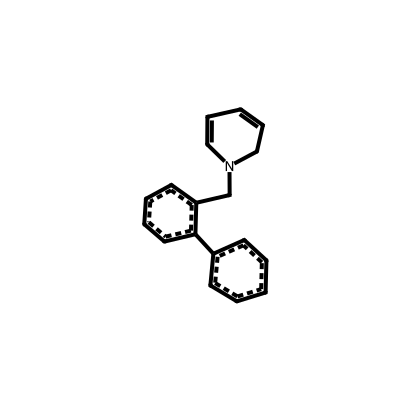 C1=CCN(Cc2ccccc2-c2ccccc2)C=C1